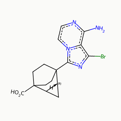 Nc1nccn2c(C34CCC(C(=O)O)(CC3)C3C[C@H]34)nc(Br)c12